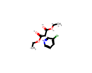 Brc1cccnc1.CCOC(=O)CC(=O)OCC